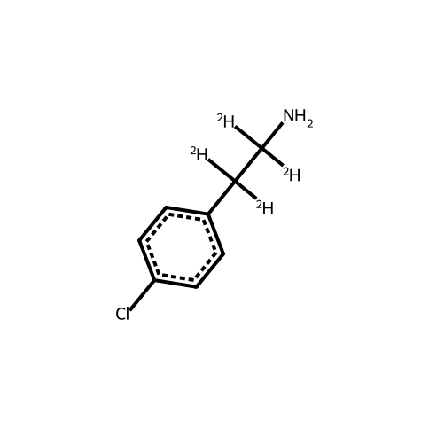 [2H]C([2H])(N)C([2H])([2H])c1ccc(Cl)cc1